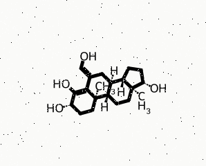 C[C@]12CC[C@H]3[C@@H](CC(=CO)C4=C(O)[C@@H](O)CC[C@@]43C)[C@@H]1CC[C@@H]2O